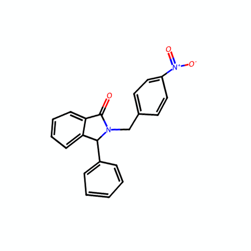 O=C1c2ccccc2C(c2ccccc2)N1Cc1ccc([N+](=O)[O-])cc1